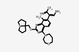 Cc1c(/C(=C/N)C(=N)C(F)(F)F)ccc2c(N3CCCOCC3)nc(OCC34CCCN3CCC4)nc12